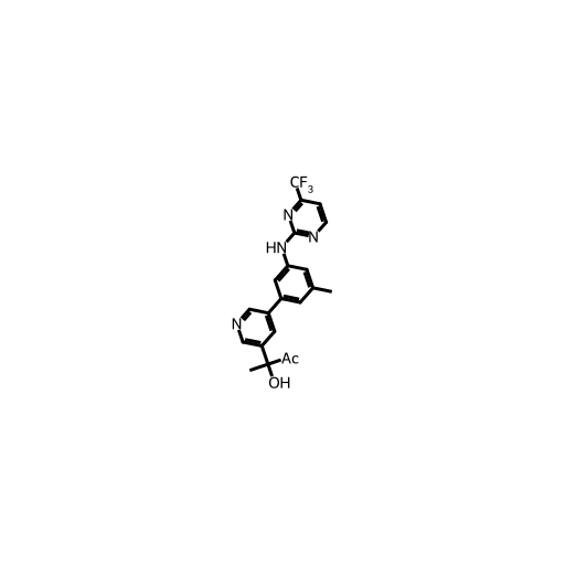 CC(=O)C(C)(O)c1cncc(-c2cc(C)cc(Nc3nccc(C(F)(F)F)n3)c2)c1